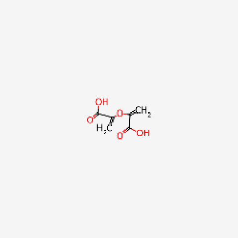 C=C(OC(=C)C(=O)O)C(=O)O